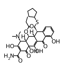 CCC(=O)O[C@H]1[C@H]2C(=C(O)[C@]3(O)C(=O)C(C(N)=O)=C(O)[C@@H](N(C)C)[C@H]13)C(=O)c1c(O)cccc1[C@@H]2CSC1CCCC1